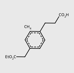 C.CCOC(=O)Cc1ccc(CCC(=O)O)cc1